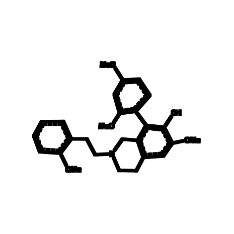 COc1ccc(-c2c(O)c(OC)cc3c2CN(CCc2ccccc2OC)CC3)c(OC)c1